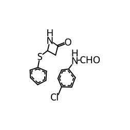 O=C1CC(Sc2ccccc2)N1.O=CNc1ccc(Cl)cc1